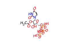 CC(=O)OC1C(O)[C@@H](COP(=O)(O)OP(=O)(O)OP(=O)(O)O)O[C@H]1n1ccc(=O)[nH]c1=O